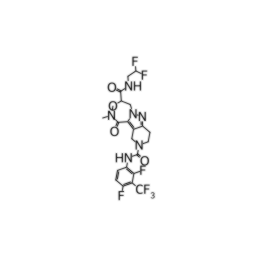 CN1OC(C(=O)NCC(F)F)Cn2nc3c(c2C1=O)CN(C(=O)Nc1ccc(F)c(C(F)(F)F)c1F)CC3